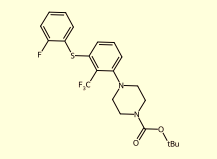 CC(C)(C)OC(=O)N1CCN(c2cccc(Sc3ccccc3F)c2C(F)(F)F)CC1